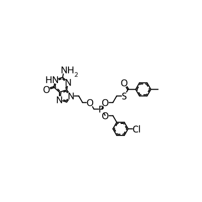 Cc1ccc(C(=O)SCCOP(COCCn2cnc3c(=O)[nH]c(N)nc32)OCc2cccc(Cl)c2)cc1